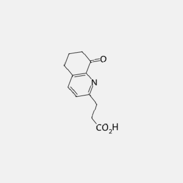 O=C(O)CCc1ccc2c(n1)C(=O)CCC2